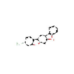 Brc1ccc2c(c1)oc1cc3oc4ccccc4c3cc12